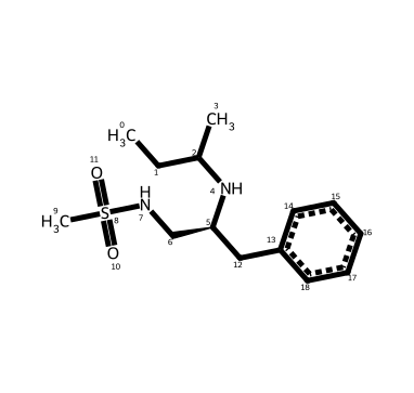 CCC(C)N[C@H](CNS(C)(=O)=O)Cc1ccccc1